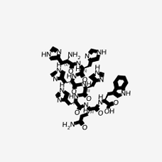 NC(=O)CC[C@H](NC(=O)[C@H](Cc1c[nH]cn1)NC(=O)[C@H](Cc1c[nH]cn1)NC(=O)[C@H](Cc1c[nH]cn1)NC(=O)[C@H](Cc1c[nH]cn1)NC(=O)[C@@H](N)Cc1c[nH]cn1)C(=O)N[C@@H](Cc1c[nH]c2ccccc12)C(=O)O